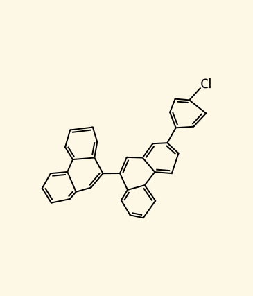 Clc1ccc(-c2ccc3c(c2)cc(-c2cc4ccccc4c4ccccc24)c2ccccc23)cc1